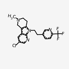 CN1CCc2c(c3cc(Cl)cnc3n2CCc2ccc(C(F)(F)F)nc2)C1